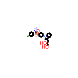 O=S(=O)(Nc1ccc(F)cc1)c1ccc(-n2cc(CC(O)CO)c3ccccc32)cc1